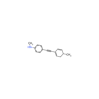 CNc1ccc(C#CC2=CCC(C)C=C2)cc1